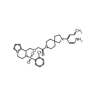 C=C/C=C(\C=C/N)N1CCC2(CCN(C(=O)COCC3c4cccn4CCN3S(=O)(=O)c3ccccc3C(F)(F)F)CC2)C1